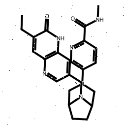 CCc1cc2ncc(CN3C4CCC3CN(c3ccc(C(=O)NC)nc3)C4)cc2[nH]c1=O